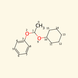 CC(Oc1ccccc1)OC1CCCCC1